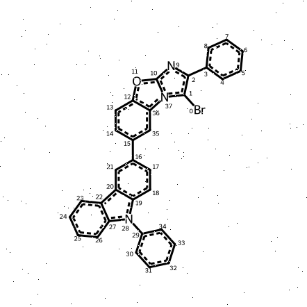 Brc1c(-c2ccccc2)nc2oc3ccc(-c4ccc5c(c4)c4ccccc4n5-c4ccccc4)cc3n12